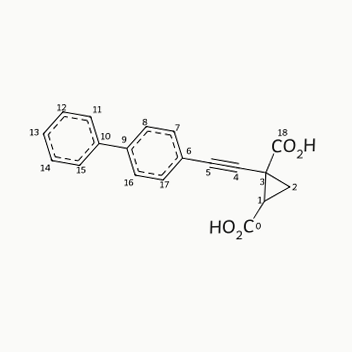 O=C(O)C1CC1(C#Cc1ccc(-c2ccccc2)cc1)C(=O)O